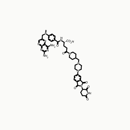 CN(Cc1cnc2nc(N)nc(N)c2n1)c1ccc(C(=O)N[C@@H](CCC(=O)N2CCC(CN3CCN(c4ccc5c(c4)C(=O)N(C4CCC(=O)NC4=O)C5=O)CC3)CC2)C(=O)O)cc1